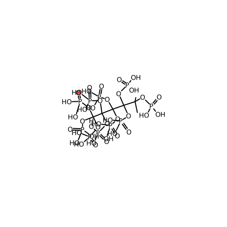 CC(C)(OP(=O)(O)O)C(OP(=O)(O)O)(OP(=O)(O)O)C(OP(=O)(O)O)(OP(=O)(O)O)C(OP(=O)(O)O)(OP(=O)(O)O)C(OP(=O)(O)O)(OP(=O)(O)O)OP(=O)(O)O